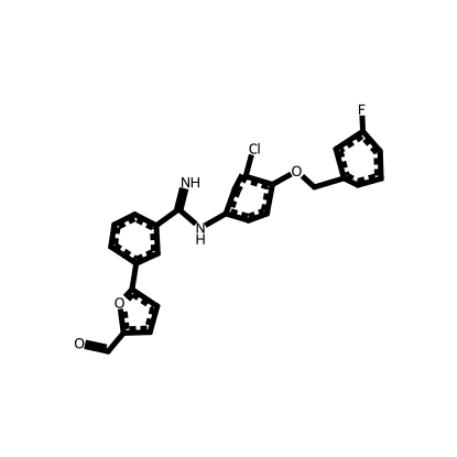 N=C(Nc1ccc(OCc2cccc(F)c2)c(Cl)c1)c1cccc(-c2ccc(C=O)o2)c1